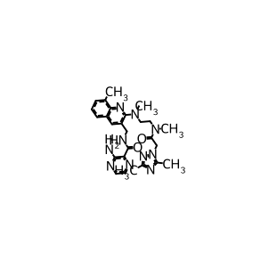 Cc1nc(C)n(CC(=O)N(C)CCN(C)c2nc3c(C)cccc3cc2CNC(=O)c2nccnc2N)n1